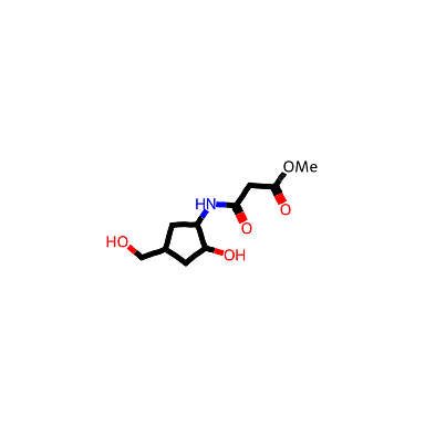 COC(=O)CC(=O)NC1CC(CO)CC1O